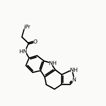 CC(C)CC(=O)Nc1ccc2c3c([nH]c2c1)-c1[nH]ncc1CC3